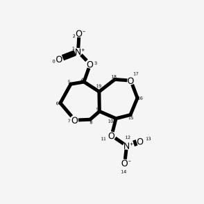 O=[N+]([O-])OC1CCOCC2C(O[N+](=O)[O-])CCOCC12